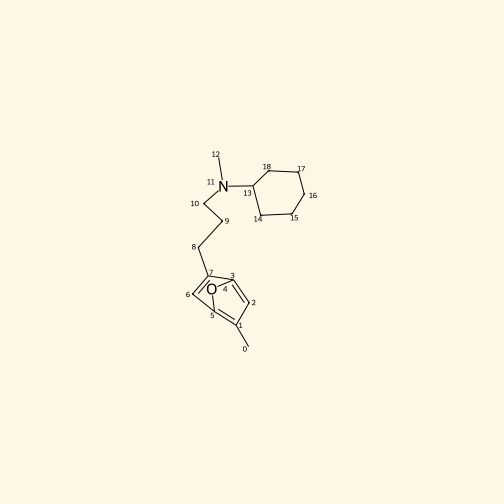 Cc1cc2oc1cc2CCCN(C)C1CCCCC1